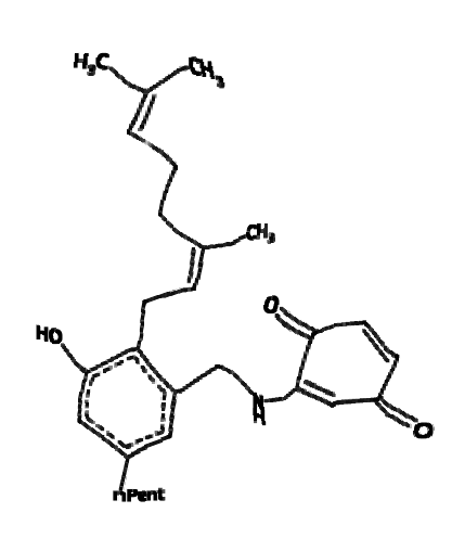 CCCCCc1cc(O)c(CC=C(C)CCC=C(C)C)c(CNC2=CC(=O)C=CC2=O)c1